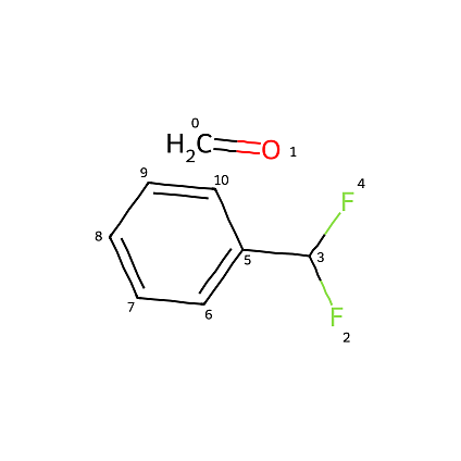 C=O.FC(F)c1ccccc1